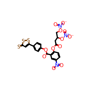 O=C(CC(CO[N+](=O)[O-])O[N+](=O)[O-])Oc1ccc([N+](=O)[O-])cc1C(=O)Oc1ccc(-c2cc(=S)ss2)cc1